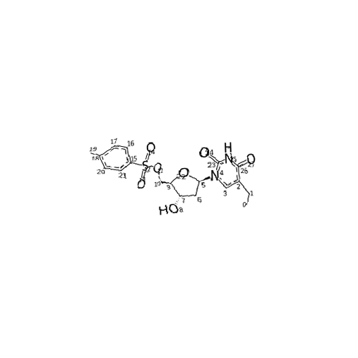 CCc1cn([C@H]2C[C@H](O)[C@@H](COS(=O)(=O)c3ccc(C)cc3)O2)c(=O)[nH]c1=O